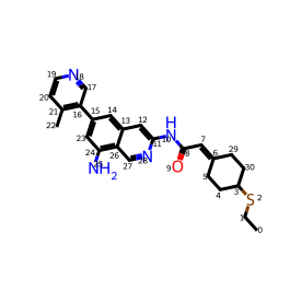 CCSC1CCC(=CC(=O)Nc2cc3cc(-c4cnccc4C)cc(N)c3cn2)CC1